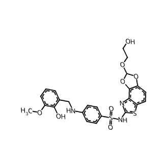 COc1cccc(CNc2ccc(S(=O)(=O)Nc3nc4c5c(ccc4s3)OC(OCCO)O5)cc2)c1O